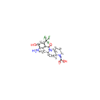 CC(C)N(C(=O)c1cc(N)c(O)cc1C(F)(F)F)[C@@H]1CCCN(C(=O)O)C1